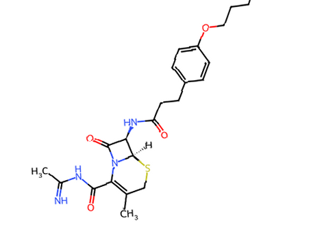 CCCCOc1ccc(CCC(=O)N[C@@H]2C(=O)N3C(C(=O)NC(C)=N)=C(C)CS[C@H]23)cc1